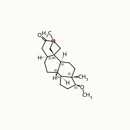 COC[C@]12CCC(=O)C[C@@H]1CC[C@H]1[C@@H]3CC[C@H](OC)[C@@]3(C)CC[C@@H]12